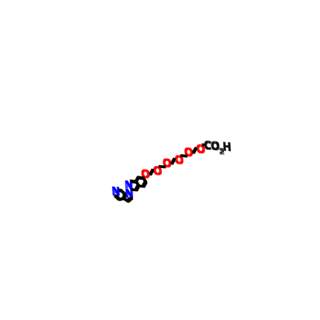 O=C(O)COCCOCCOCCOCCOCCOc1ccc2cc(-n3ccc4ccncc43)ncc2c1